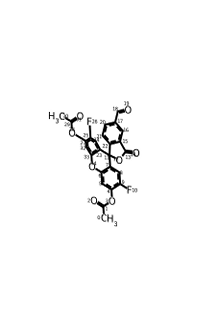 CC(=O)Oc1cc2c(cc1F)C1(OC(=O)c3cc(C=O)ccc31)c1cc(F)c(OC(C)=O)cc1O2